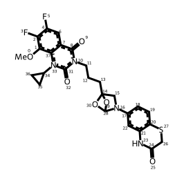 COc1c(F)c(F)cc2c(=O)n(CCCC34CN(c5ccc6c(c5)NC(=O)CS6)C(O3)O4)c(=O)n(C3CC3)c12